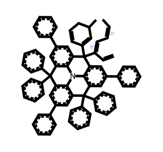 C=C/C(=C\C=C/C)C1(C2=CC(C)CC=C2)c2cc(-c3ccccc3)cc3c2N2c4c1cc(-c1ccccc1)cc4C(c1ccccc1)(c1ccccc1)c1cc(-c4ccccc4)cc(c12)C3(c1ccccc1)c1ccccc1